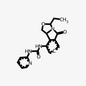 CCC1OCC2c3c(NC(=O)Nc4ccccn4)cccc3C(=O)N12